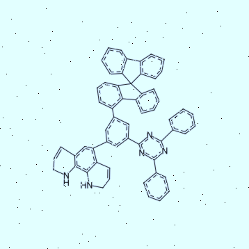 C1=Cc2cc(-c3cc(-c4nc(-c5ccccc5)nc(-c5ccccc5)n4)cc(-c4cccc5c4-c4ccccc4C54c5ccccc5-c5ccccc54)c3)c3c(c2NC1)NCC=C3